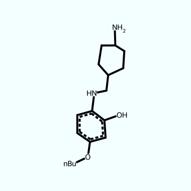 CCCCOc1ccc(NCC2CCC(N)CC2)c(O)c1